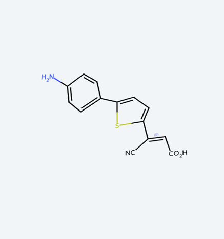 N#C/C(=C\C(=O)O)c1ccc(-c2ccc(N)cc2)s1